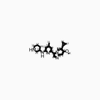 COc1cc2ncc(-c3cc(C)cc(NC4CCCNC4)n3)n2nc1C1CC1